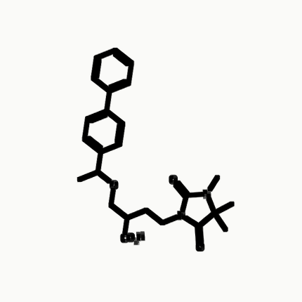 CC(OCC(CCN1C(=O)N(C)C(C)(C)C1=O)C(=O)O)c1ccc(-c2ccccc2)cc1